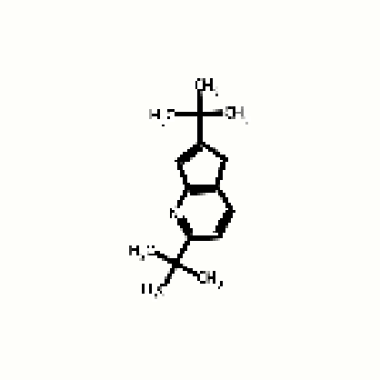 CC(C)(C)C1=Cc2nc(C(C)(C)C)ccc2C1